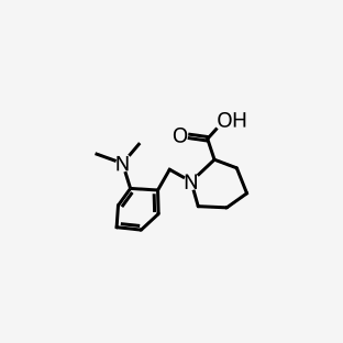 CN(C)c1ccccc1CN1CCCCC1C(=O)O